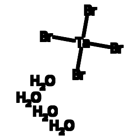 O.O.O.O.[Br][Ta]([Br])([Br])[Br]